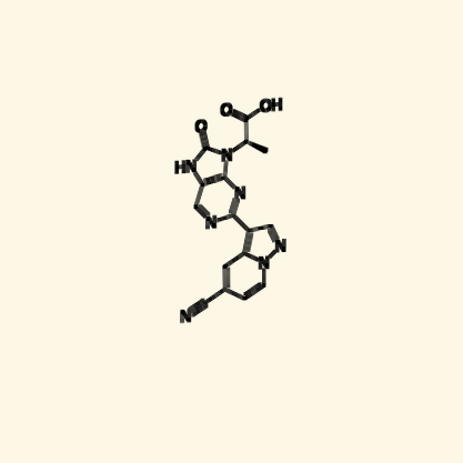 C[C@H](C(=O)O)n1c(=O)[nH]c2cnc(-c3cnn4ccc(C#N)cc34)nc21